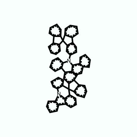 c1ccc(N(c2ccc3c(c2)C2(c4ccccc4-c4ccccc42)c2ccccc2-3)c2cccc3ccccc23)c(-c2ccc3c(c2)C2(c4ccccc4-3)c3ccccc3-n3c4ccccc4c4cccc2c43)c1